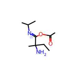 CCC(C)(N)/C(=N/C(C)C)OC(C)=O